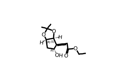 CCOC(=O)C=C1[C@H](O)C[C@H]2OC(C)(C)O[C@@H]12